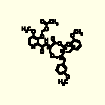 COc1cccc(C[C@H]2COC[C@H](NC(=O)c3nccc(OC)c3OCOC(C)=O)C(=O)O[C@@H](C)[C@@H]2Cc2cccc(OC)c2)c1